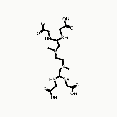 CN(CCN(C)CC(NCC(=O)O)NCC(=O)O)CC(NCC(=O)O)NCC(=O)O